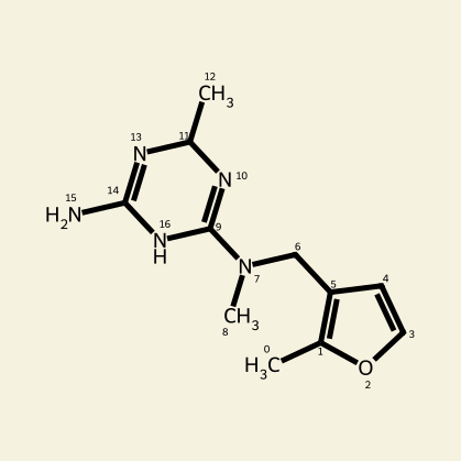 Cc1occc1CN(C)C1=NC(C)N=C(N)N1